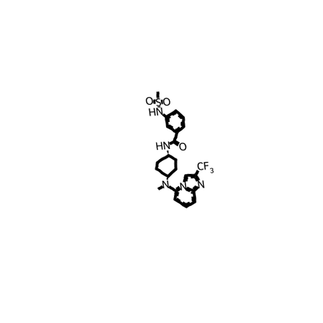 CN(c1cccc2nc(C(F)(F)F)cn12)[C@H]1CC[C@@H](NC(=O)c2cccc(NS(C)(=O)=O)c2)CC1